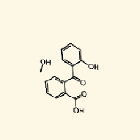 CO.O=C(O)c1ccccc1C(=O)c1ccccc1O